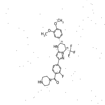 COc1ccc([C@@H]2C[C@H](C(F)(F)F)n3nc(-c4ccc(C(=O)N5CCNCC5)c(F)c4)cc3N2)cc1OC